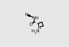 N#CNC(=O)[C@@H]1CCN1N